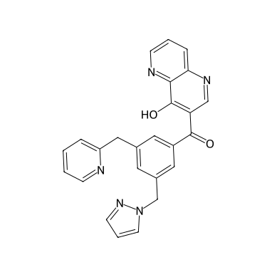 O=C(c1cc(Cc2ccccn2)cc(Cn2cccn2)c1)c1cnc2cccnc2c1O